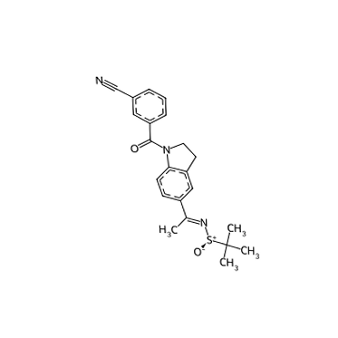 CC(=N[S@+]([O-])C(C)(C)C)c1ccc2c(c1)CCN2C(=O)c1cccc(C#N)c1